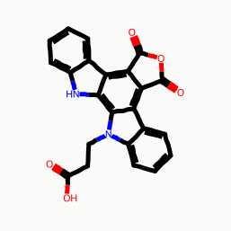 O=C(O)CCn1c2ccccc2c2c3c(c4c5ccccc5[nH]c4c21)C(=O)OC3=O